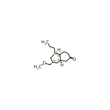 CCCN1C[C@H](COC)C[C@H]2CC(=O)CC[C@@H]21